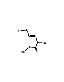 CCOC=NC(C#N)C(=O)OC(C)(C)C